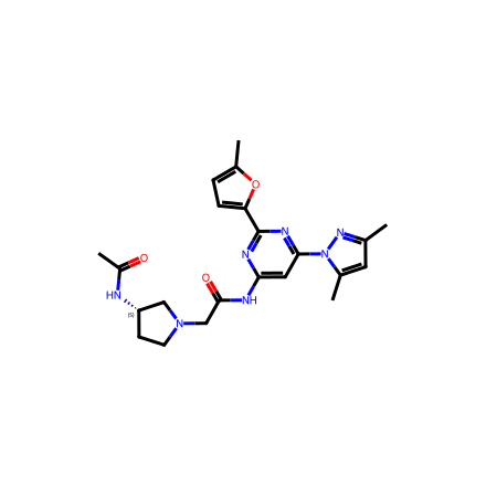 CC(=O)N[C@H]1CCN(CC(=O)Nc2cc(-n3nc(C)cc3C)nc(-c3ccc(C)o3)n2)C1